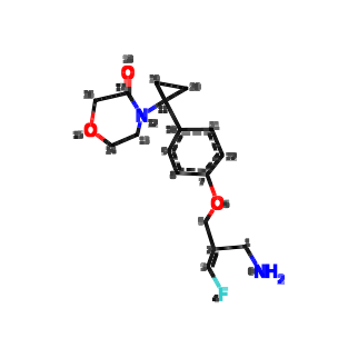 NC/C(=C\F)COc1ccc(C2(N3CCOCC3=O)CC2)cc1